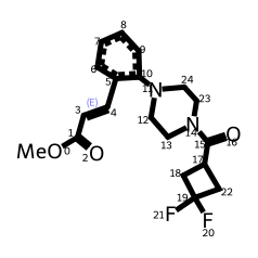 COC(=O)/C=C/c1ccccc1N1CCN(C(=O)C2CC(F)(F)C2)CC1